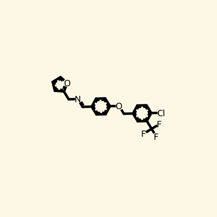 FC(F)(F)c1cc(COc2ccc(C=NCc3ccco3)cc2)ccc1Cl